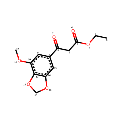 CCOC(=O)CC(=O)c1cc(OC)c2c(c1)OCO2